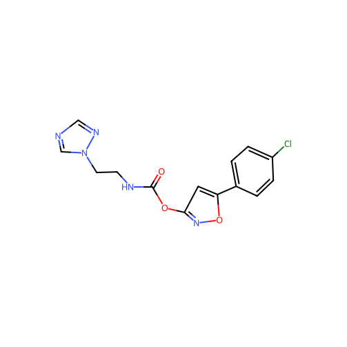 O=C(NCCn1cncn1)Oc1cc(-c2ccc(Cl)cc2)on1